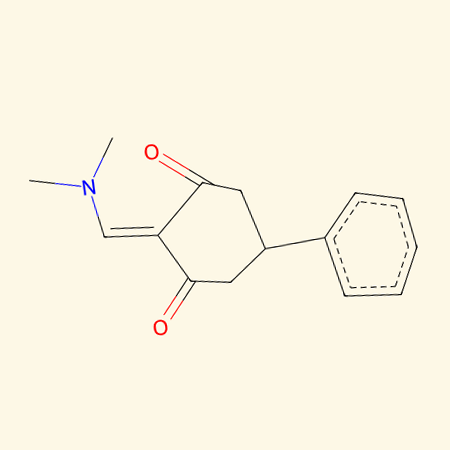 CN(C)C=C1C(=O)CC(c2ccccc2)CC1=O